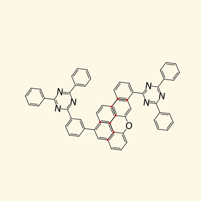 c1ccc(-c2nc(-c3ccccc3)nc(-c3cccc(-c4cccc(-c5ccccc5Oc5ccccc5-c5cccc(-c6cccc(-c7nc(-c8ccccc8)nc(-c8ccccc8)n7)c6)c5)c4)c3)n2)cc1